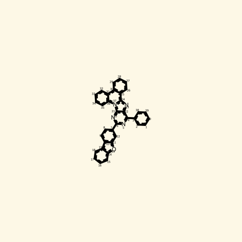 c1ccc(-c2nc(-c3ccc4c(c3)oc3ccccc34)nc3c2nc2c4ccccc4c4ccccc4n32)cc1